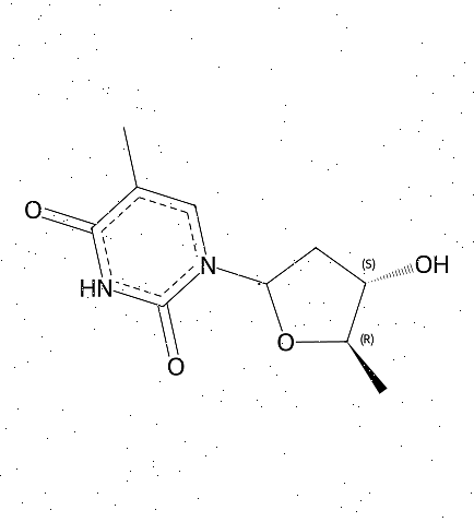 Cc1cn([C]2C[C@H](O)[C@@H](C)O2)c(=O)[nH]c1=O